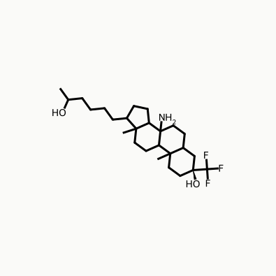 CC(O)CCCCC1CCC2C1(C)CCC1C3(C)CC[C@@](O)(C(F)(F)F)CC3CCC21N